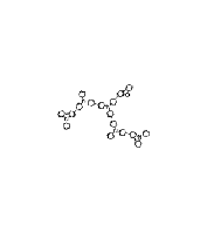 c1ccc(N(c2ccc(-c3ccc(N(c4ccc(-c5ccc(N(c6ccccc6)c6ccc(-c7ccc8c(c7)c7ccccc7n8-c7ccccc7)cc6)cc5)cc4)c4ccc(-c5ccc6c(c5)oc5ccccc56)cc4)cc3)cc2)c2ccc(-c3ccc4c(c3)c3ccccc3n4-c3ccccc3)cc2)cc1